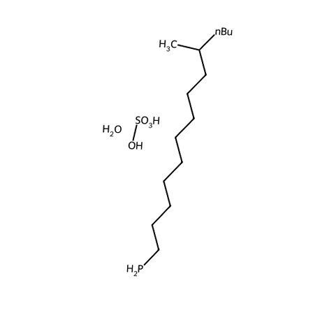 CCCCC(C)CCCCCCCCCP.O.O=S(=O)(O)O